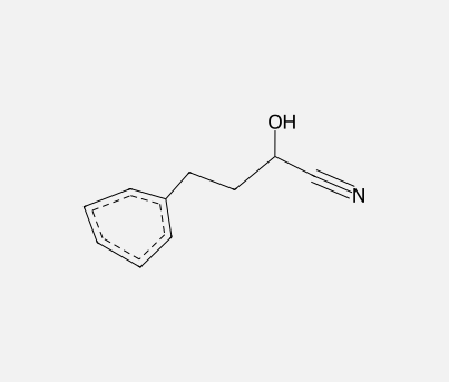 N#CC(O)CCc1ccccc1